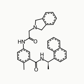 Cc1ccc(NC(=O)CN2Cc3ccccc3C2)cc1C(=O)N[C@H](C)c1cccc2ccccc12